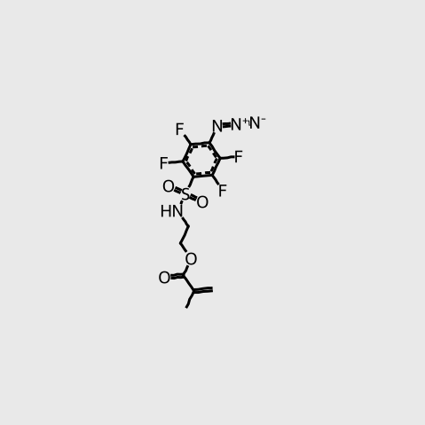 C=C(C)C(=O)OCCNS(=O)(=O)c1c(F)c(F)c(N=[N+]=[N-])c(F)c1F